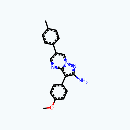 COc1ccc(-c2c(N)nn3cc(-c4ccc(C)cc4)cnc23)cc1